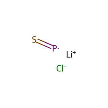 [Cl-].[Li+].[P]=S